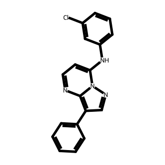 Clc1cccc(Nc2ccnc3c(-c4ccccc4)cnn23)c1